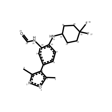 Cc1noc(C)c1-c1ccc(NC2CCC(F)(F)CC2)c(NC=O)c1